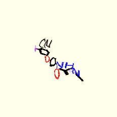 C=C/N=C\C(=C)C(=O)N[C@H]1CC[C@H](Oc2ccc(C#N)c(I)c2)CC1